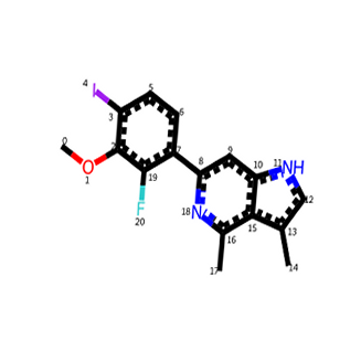 COc1c(I)ccc(-c2cc3[nH]cc(C)c3c(C)n2)c1F